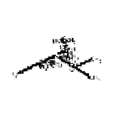 CCCCCCCCCCC(=O)OCCCCC(CN(CCCCN(C)C(=O)CN(C)CC(=O)O)CC(CCCCCOC(=O)C(CCCCCCCC)CCCCCCCC)O[Si](C)(C)C(C)(C)C)O[Si](C)(C)C(C)(C)C